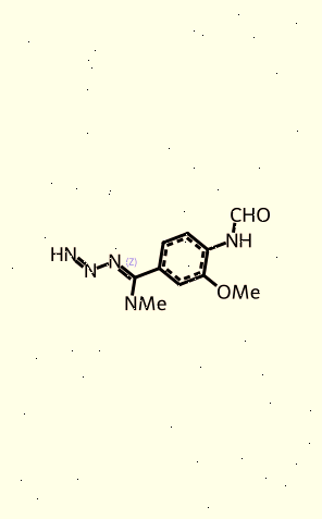 CN/C(=N\N=N)c1ccc(NC=O)c(OC)c1